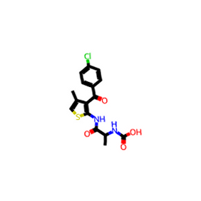 Cc1csc(NC(=O)C(C)NC(=O)O)c1C(=O)c1ccc(Cl)cc1